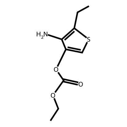 CCOC(=O)Oc1csc(CC)c1N